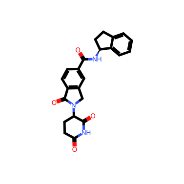 O=C1CCC(N2Cc3cc(C(=O)N[C@H]4CCc5ccccc54)ccc3C2=O)C(=O)N1